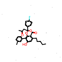 CCCCCc1cc(O)c(-c2cccc(C)c2)c2c1C(=O)OC(CC(C)=O)(c1ccc(F)cc1)O2